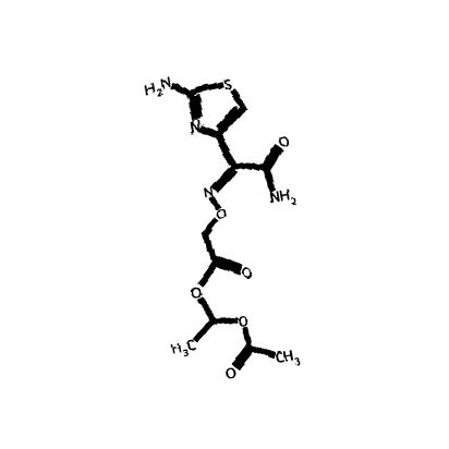 CC(=O)OC(C)OC(=O)CO/N=C(\C(N)=O)c1csc(N)n1